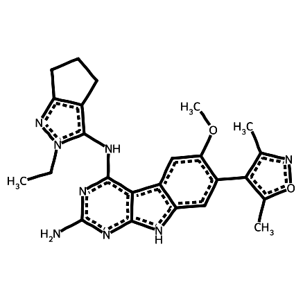 CCn1nc2c(c1Nc1nc(N)nc3[nH]c4cc(-c5c(C)noc5C)c(OC)cc4c13)CCC2